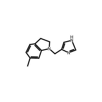 Cc1ccc2c(c1)N(Cc1c[nH]cn1)CC2